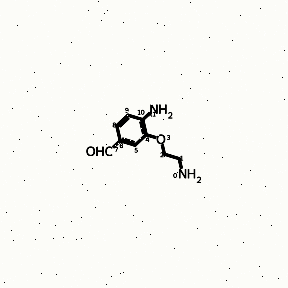 NCCOc1cc(C=O)ccc1N